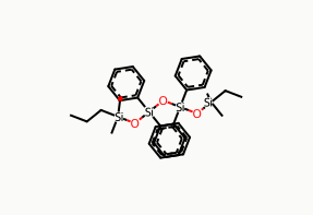 CCC[Si](C)(C)O[Si](O[Si](O[Si](C)(C)CC)(c1ccccc1)c1ccccc1)(c1ccccc1)c1ccccc1